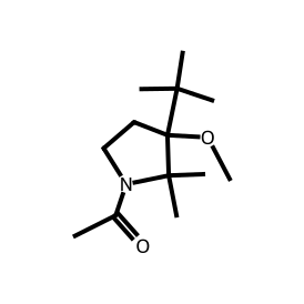 COC1(C(C)(C)C)CCN(C(C)=O)C1(C)C